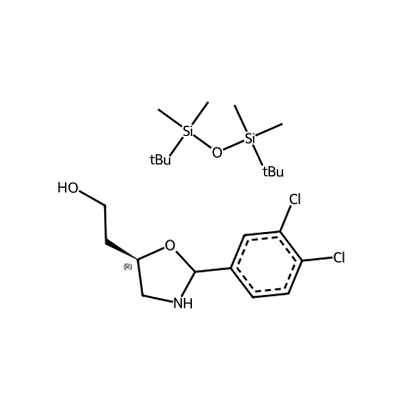 CC(C)(C)[Si](C)(C)O[Si](C)(C)C(C)(C)C.OCC[C@@H]1CNC(c2ccc(Cl)c(Cl)c2)O1